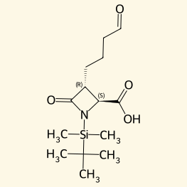 CC(C)(C)[Si](C)(C)N1C(=O)[C@H](CCCC=O)[C@H]1C(=O)O